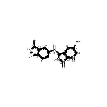 Cc1noc2ccc(Nc3n[nH]c4ncc(F)cc34)cc12